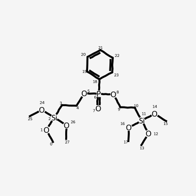 CO[Si](CCOP(=O)(OCC[Si](OC)(OC)OC)c1ccccc1)(OC)OC